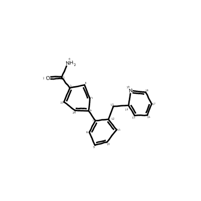 NC(=O)c1ccc(-c2ccccc2Cc2ccccn2)cc1